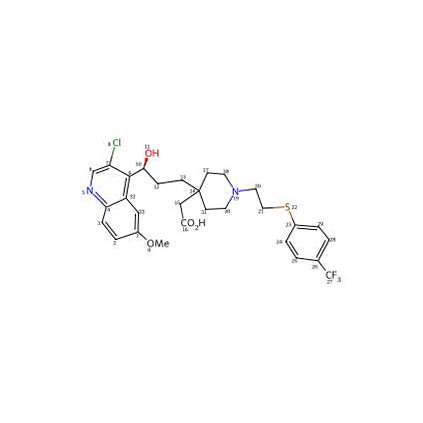 COc1ccc2ncc(Cl)c([C@@H](O)CCC3(CC(=O)O)CCN(CCSc4ccc(C(F)(F)F)cc4)CC3)c2c1